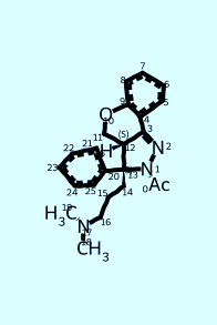 CC(=O)N1N=C2c3ccccc3OC[C@H]2[C@@]1(CCCN(C)C)c1ccccc1